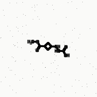 COC(=O)C1CC(NNC(=O)O)C1